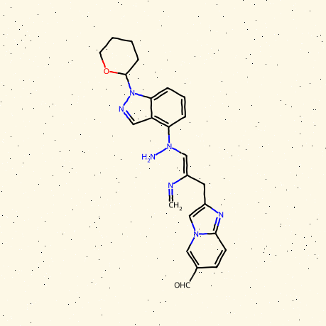 C=N/C(=C\N(N)c1cccc2c1cnn2C1CCCCO1)Cc1cn2cc(C=O)ccc2n1